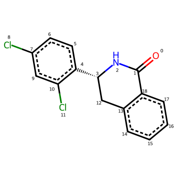 O=C1N[C@@H](c2ccc(Cl)cc2Cl)Cc2ccccc21